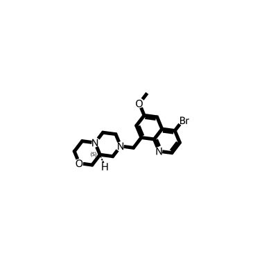 COc1cc(CN2CCN3CCOC[C@@H]3C2)c2nccc(Br)c2c1